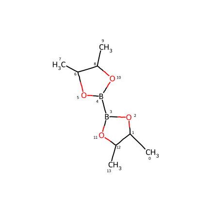 CC1OB(B2OC(C)C(C)O2)OC1C